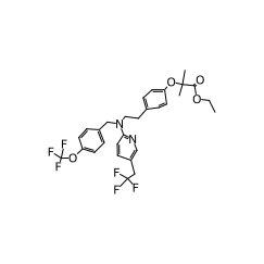 CCOC(=O)C(C)(C)Oc1ccc(CCN(Cc2ccc(OC(F)(F)F)cc2)c2ccc(CC(F)(F)F)cn2)cc1